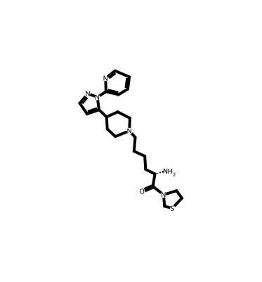 N[C@@H](CCCCN1CCC(c2ccnn2-c2ccccn2)CC1)C(=O)N1CCSC1